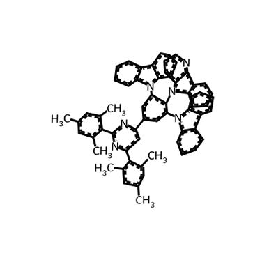 Cc1cc(C)c(-c2cc(-c3cc(-n4c5ccccc5c5ccccc54)c(-n4c5ccccc5c5ncccc54)c(-n4c5ccccc5c5ccccc54)c3)nc(-c3c(C)cc(C)cc3C)n2)c(C)c1